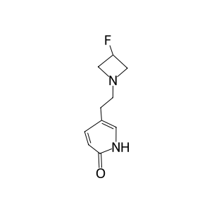 O=c1ccc(CCN2CC(F)C2)c[nH]1